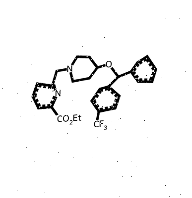 CCOC(=O)c1cccc(CN2CCC(OC(c3ccccc3)c3ccc(C(F)(F)F)cc3)CC2)n1